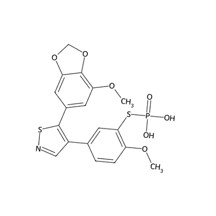 COc1ccc(-c2cnsc2-c2cc(OC)c3c(c2)OCO3)cc1SP(=O)(O)O